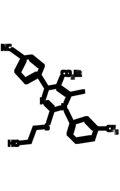 CCOC(=O)C1=C(C)N(c2cccc(C(F)(F)F)c2)C(SCCO)=NC1c1ccc(C#N)cc1